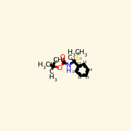 CS[C@@](C)(NC(=O)OC(C)(C)C)c1ccccc1